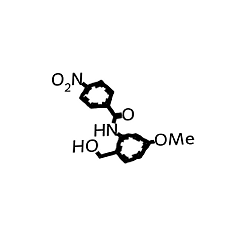 COc1ccc(CO)c(NC(=O)c2ccc([N+](=O)[O-])cc2)c1